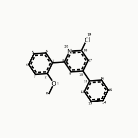 COc1ccccc1-c1cc(-c2ccccc2)cc(Cl)n1